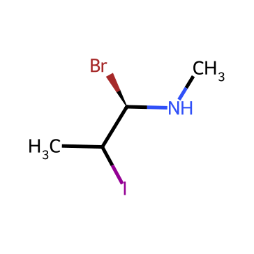 CN[C@H](Br)C(C)I